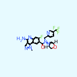 Cn1ncc2c(N)nc3cc(F)c(C(=O)N(Cc4ccc(C(F)(F)F)cn4)N4C[C@@H]5C[C@H]4CO5)cc3c21